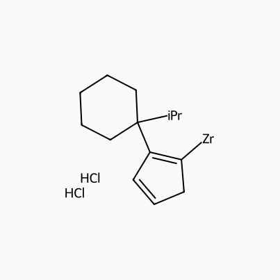 CC(C)C1(C2=[C]([Zr])CC=C2)CCCCC1.Cl.Cl